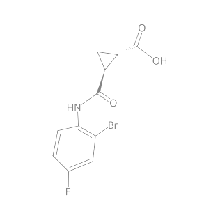 O=C(O)[C@H]1C[C@@H]1C(=O)Nc1ccc(F)cc1Br